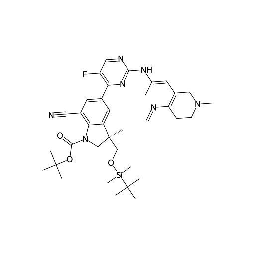 C=NC1=C(/C=C(\C)Nc2ncc(F)c(-c3cc(C#N)c4c(c3)[C@@](C)(CO[Si](C)(C)C(C)(C)C)CN4C(=O)OC(C)(C)C)n2)CN(C)CC1